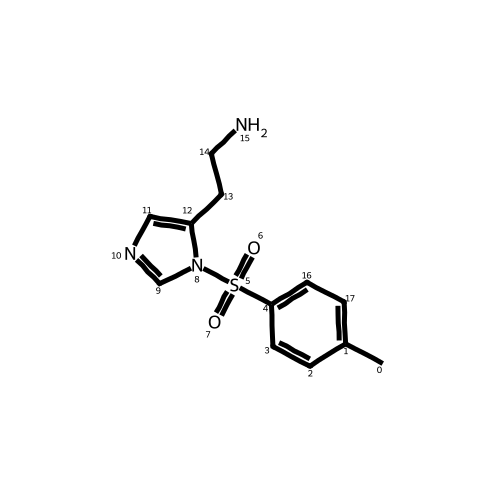 Cc1ccc(S(=O)(=O)n2cncc2CCN)cc1